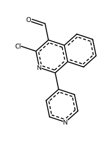 O=Cc1c(Cl)nc(-c2ccncc2)c2ccccc12